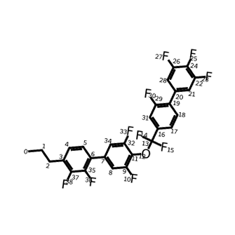 CCCc1ccc(-c2cc(F)c(OC(F)(F)c3ccc(-c4cc(F)c(F)c(F)c4)c(F)c3)c(F)c2)c(F)c1F